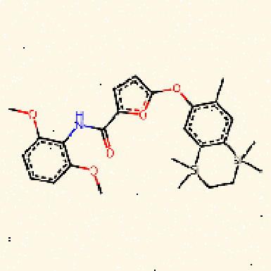 COc1cccc(OC)c1NC(=O)c1ccc(Oc2cc3c(cc2C)[Si](C)(C)CC[Si]3(C)C)o1